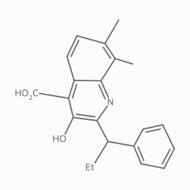 CCC(c1ccccc1)c1nc2c(C)c(C)ccc2c(C(=O)O)c1O